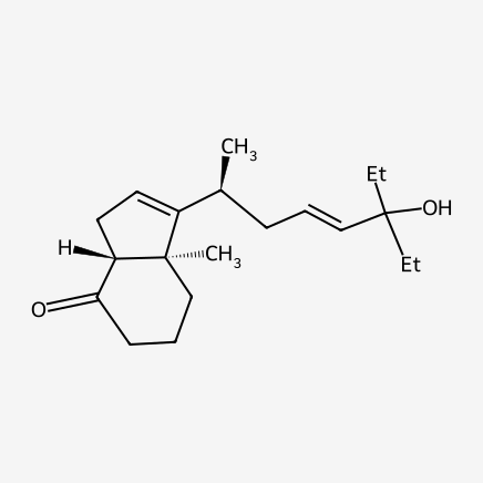 CCC(O)(/C=C/C[C@H](C)C1=CC[C@H]2C(=O)CCC[C@]12C)CC